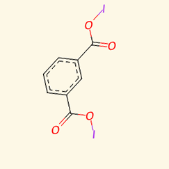 O=C(OI)c1cccc(C(=O)OI)c1